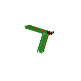 Cl.Cl.Cl.Cl.Cl.Cl.Cl.Cl.Cl.Cl.Cl.Cl.Cl.Cl.Cl.Cl.Cl.Cl.Cl.Cl.Cl.Cl.Cl.Cl.Cl.Cl.Cl.Cl.Cl.Cl.Cl.Cl.Cl.Cl.Cl.Cl.Cl.Cl.Cl.Cl.Cl.Cl.Cl.Cl.Cl.Cl.Cl.Cl.Cl.Cl.Cl.Cl.Cl.Cl.Cl.Cl.Cl.Cl.Cl.Cl.Cl.Cl.Cl.Cl.Cl.Cl.Cl.Cl.Cl.Cl.Cl.Cl.Cl.Cl.Cl.Cl.Cl.Cl.Cl.Cl.Cl.Cl.Cl.Cl.Cl.Cl.Cl.Cl.Cl.Cl.[Cl-].[Cl-].[Cl-].[Cl-].[Cl-].[Na+].[Na+].[Na+].[Na+].[Na+]